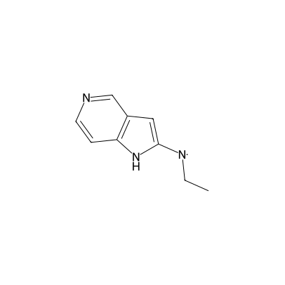 CC[N]c1cc2cnccc2[nH]1